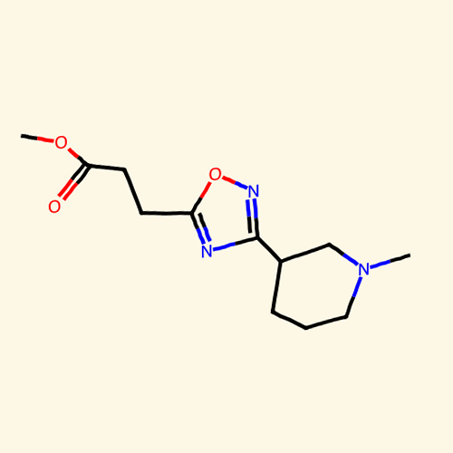 COC(=O)CCc1nc(C2CCCN(C)C2)no1